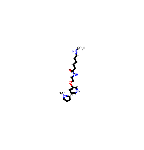 CN1CCC[C@H]1c1cncc(OCCNC(=O)CCCCCNC(=O)O)c1